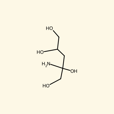 NC(O)(CO)CC(O)CO